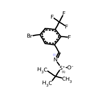 CC(C)(C)[S@@+]([O-])/N=C/c1cc(Br)cc(C(F)(F)F)c1F